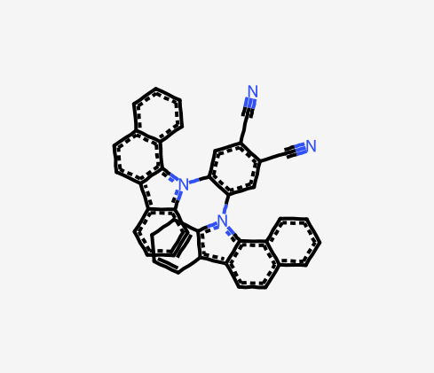 N#Cc1cc(-n2c3c(c4ccc5ccccc5c42)C=CCC3)c(-n2c3c#cccc3c3ccc4ccccc4c32)cc1C#N